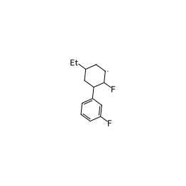 CCC1C[CH]C(F)C(c2cccc(F)c2)C1